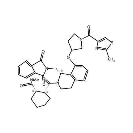 CNC(=O)[C@H]1CCCC[C@H]1C(=O)N1CCc2cccc(OC3CCN(C(=O)c4csc(C)n4)C3)c2[C@H]1CN1C(=O)c2ccccc2C1=O